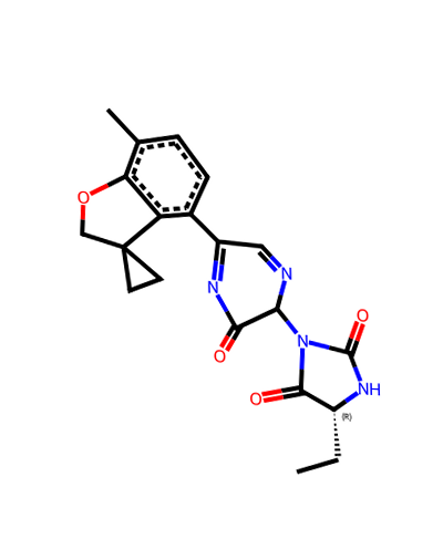 CC[C@H]1NC(=O)N(C2N=CC(c3ccc(C)c4c3C3(CC3)CO4)=NC2=O)C1=O